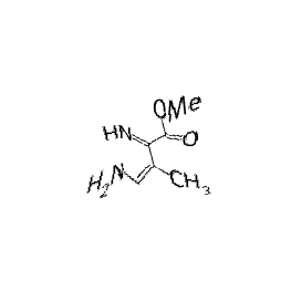 COC(=O)C(=N)/C(C)=C\N